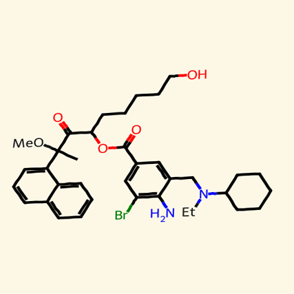 CCN(Cc1cc(C(=O)OC(CCCCCO)C(=O)C(C)(OC)c2cccc3ccccc23)cc(Br)c1N)C1CCCCC1